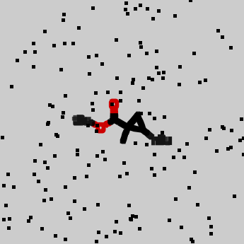 CCCCC1CC1(C)C(=O)OC(C)(C)C